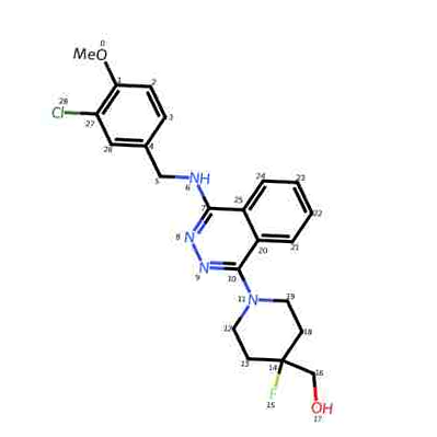 COc1ccc(CNc2nnc(N3CCC(F)(CO)CC3)c3ccccc23)cc1Cl